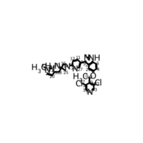 C[C@@H](Oc1ccc2[nH]nc(-c3ccc(N4CC(N)(Cc5ccn(C)n5)C4)nc3)c2c1)c1c(Cl)cncc1Cl